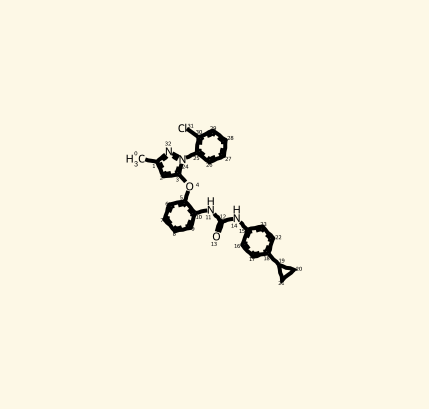 Cc1cc(Oc2ccccc2NC(=O)Nc2ccc(C3CC3)cc2)n(-c2ccccc2Cl)n1